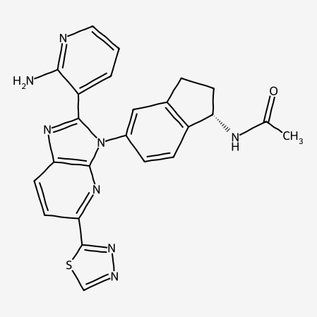 CC(=O)N[C@H]1CCc2cc(-n3c(-c4cccnc4N)nc4ccc(-c5nncs5)nc43)ccc21